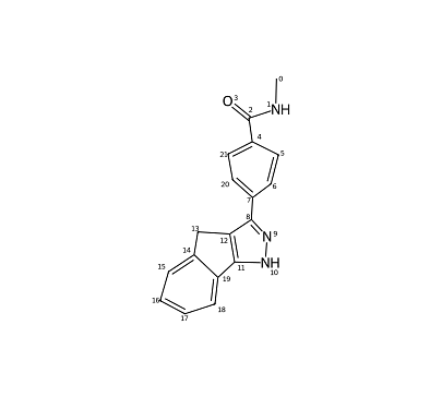 CNC(=O)c1ccc(-c2n[nH]c3c2Cc2ccccc2-3)cc1